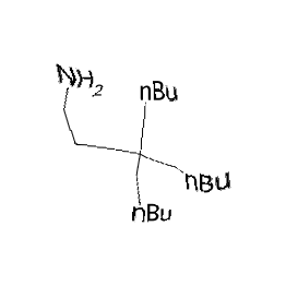 CCCCC(CN)(CCCC)CCCC